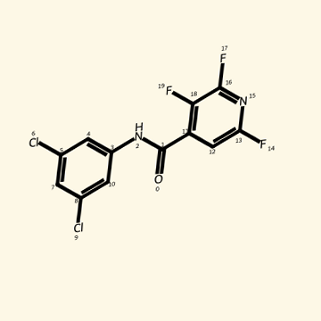 O=C(Nc1cc(Cl)cc(Cl)c1)c1cc(F)nc(F)c1F